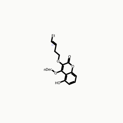 CC/C=C/CCOc1c(OCCCCCCCCCC)c2c(O)cccc2oc1=O